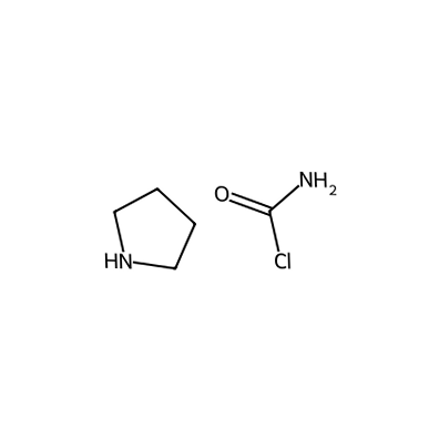 C1CCNC1.NC(=O)Cl